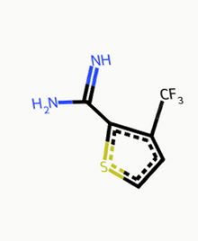 N=C(N)c1sccc1C(F)(F)F